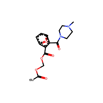 CN1CCN(C(=O)c2c(C(=O)OCOC(=O)C(C)(C)C)c3ccc2o3)CC1